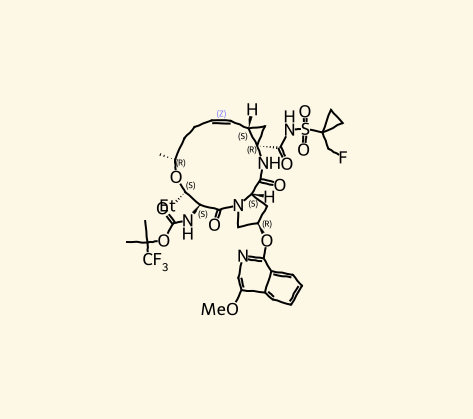 CC[C@@H]1O[C@H](C)CC/C=C\[C@@H]2C[C@@]2(C(=O)NS(=O)(=O)C2(CF)CC2)NC(=O)[C@@H]2C[C@@H](Oc3ncc(OC)c4ccccc34)CN2C(=O)[C@H]1NC(=O)OC(C)(C)C(F)(F)F